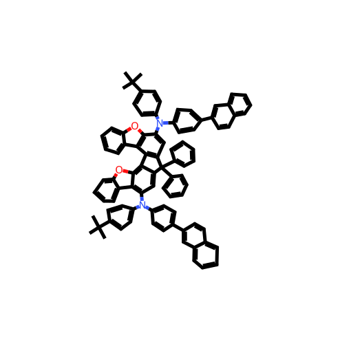 CC(C)(C)c1ccc(N(c2ccc(-c3ccc4ccccc4c3)cc2)c2cc3c(c4c2oc2ccccc24)-c2c(cc(N(c4ccc(-c5ccc6ccccc6c5)cc4)c4ccc(C(C)(C)C)cc4)c4c2oc2ccccc24)C3(c2ccccc2)c2ccccc2)cc1